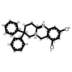 Clc1cc(Cl)c2c(c1)N=C1CCC(c3ccccc3)(c3ccccc3)CN1C2